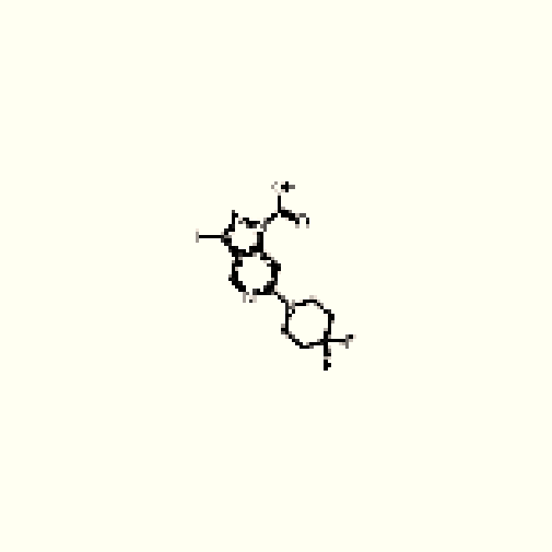 O=C(O)n1nc(I)c2cnc(N3CCC(F)(F)CC3)cc21